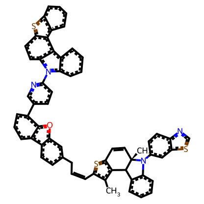 Cc1c(/C=C\Cc2ccc3c(c2)oc2c(-c4ccc(-n5c6ccccc6c6c7c(ccc65)sc5ccccc57)nc4)cccc23)sc2c1C1c3ccccc3N(c3ccc4ncsc4c3)[C@@]1(C)C=C2